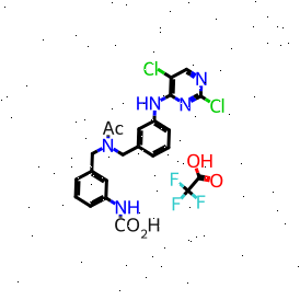 CC(=O)N(Cc1cccc(NC(=O)O)c1)Cc1cccc(Nc2nc(Cl)ncc2Cl)c1.O=C(O)C(F)(F)F